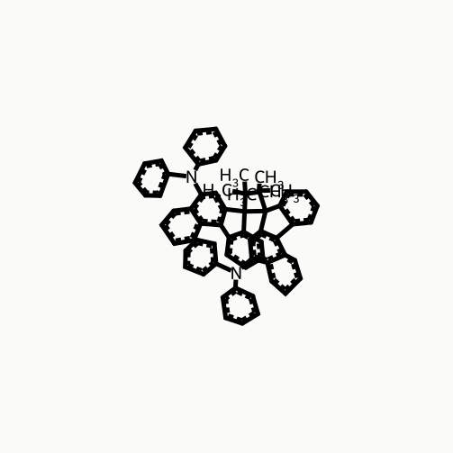 CC(C)(C)C1(C2(C(C)(C)C)c3ccccc3-c3c2cc(N(c2ccccc2)c2ccccc2)c2ccccc32)c2ccccc2-c2c1cc(N(c1ccccc1)c1ccccc1)c1ccccc21